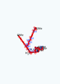 CC[C@H](C)[C@@H]([C@@H](CC(=O)N1CCC[C@H]1[C@H](OC)[C@@H](C)C(=O)N[C@@H](Cc1ccccc1)C(=O)NCCCOC(=O)C(C)NC(=O)CCNC(=O)OCC(NC(=O)CNC(=O)CNC(=O)CNC(=O)CNC(=O)CCOCCOCCNC(=O)CCN1C(=O)CC(SC)C1=O)C(=O)NCCOCCOCCOCCOCCOCCOC)OC)N(C)C(=O)[C@@H](NC(=O)[C@H](C(C)C)N(C)C)C(C)C